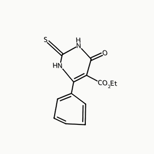 CCOC(=O)c1c(-c2ccccc2)[nH]c(=S)[nH]c1=O